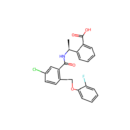 C[C@H](NC(=O)c1cc(Cl)ccc1COc1ccccc1F)c1ccccc1C(=O)O